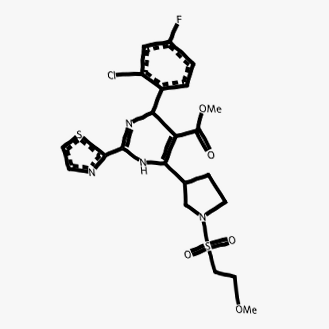 COCCS(=O)(=O)N1CCC(C2=C(C(=O)OC)C(c3ccc(F)cc3Cl)N=C(c3nccs3)N2)C1